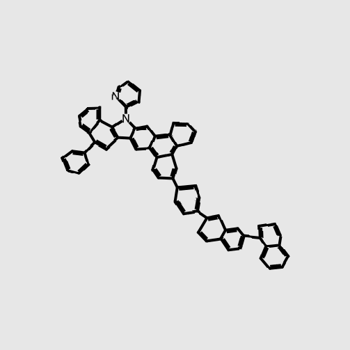 c1ccc(-c2cc3c4cc5c6ccc(-c7ccc(-c8ccc9ccc(-c%10cccc%11ccccc%10%11)cc9c8)cc7)cc6c6ccccc6c5cc4n(-c4ccccn4)c3c3ccccc23)cc1